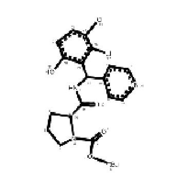 CC(C)(C)OC(=O)N1CCC[C@H]1C(=O)NC(c1ccncc1)c1c(O)ccc(Cl)c1Cl